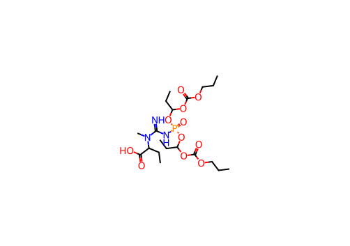 CCCOC(=O)OC(CC)OP(=O)(NC(=N)N(C)C(CC)C(=O)O)OC(CC)OC(=O)OCCC